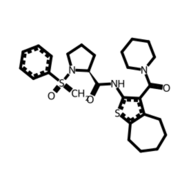 C=S(=O)(c1ccccc1)N1CCC[C@H]1C(=O)Nc1sc2c(c1C(=O)N1CCCCC1)CCCCC2